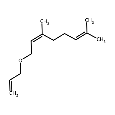 C=CCOCC=C(C)CCC=C(C)C